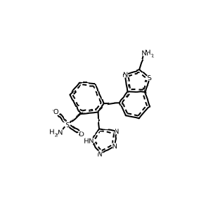 Nc1nc2c(-c3cccc(S(N)(=O)=O)c3-c3nnn[nH]3)cccc2s1